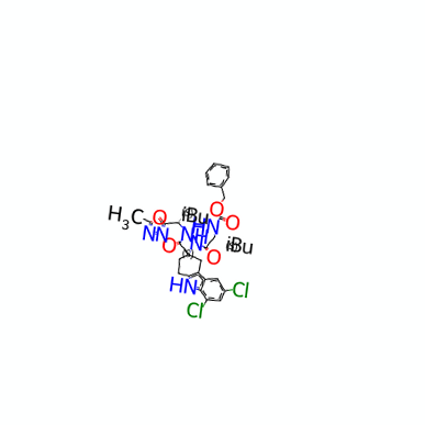 CC[C@H](C)C(NC(=O)OCc1ccccc1)C(=O)N[C@@]1(C(=O)NC(c2nnc(C)o2)[C@@H](C)CC)CCc2[nH]c3c(Cl)cc(Cl)cc3c2C1